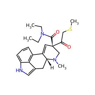 CCN(CC)C(=O)[C@]1(C(=O)CSC)C=C2c3cccc4[nH]cc(c34)C[C@H]2N(C)C1